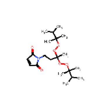 CC(C)C(C)(C)OOC(C)(CCN1C(=O)C=CC1=O)OOC(C)(C)C(C)C